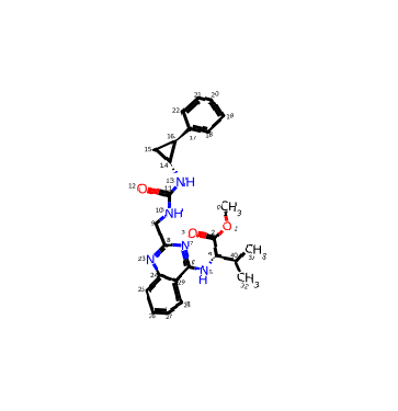 COC(=O)[C@@H](Nc1nc(CNC(=O)N[C@@H]2C[C@H]2c2ccccc2)nc2ccccc12)C(C)C